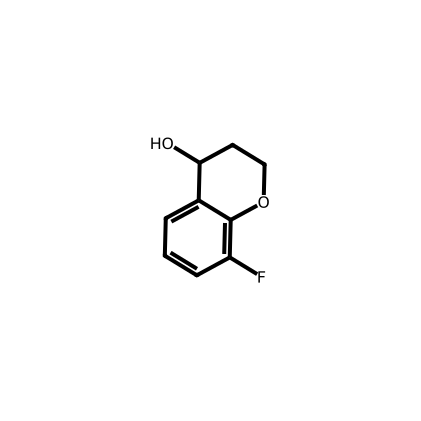 OC1CCOc2c(F)cccc21